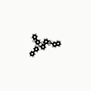 c1ccc(-c2ccc(N(c3ccc4c(c3)oc3ccccc34)c3cccc4c3oc3ccc5nc(-c6ccc7ccccc7c6)oc5c34)cc2)cc1